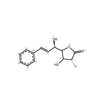 C[C@H]1C(=O)OC([C@H](O)/C=C/c2ccccc2)C1O